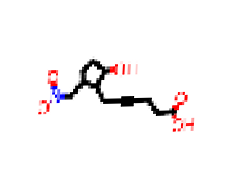 O=C(O)CCC#CCC1C(O)CCC1C[N+](=O)[O-]